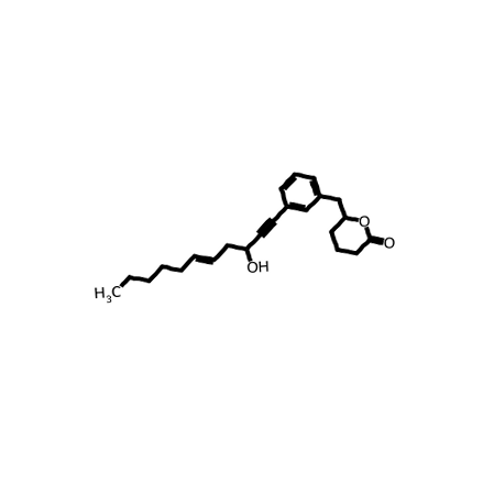 CCCCCC=CCC(O)C#Cc1cccc(CC2CCCC(=O)O2)c1